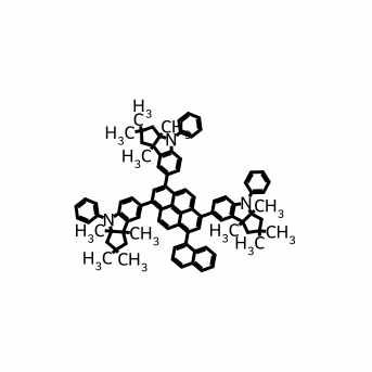 CC1(C)CC2(C)c3cc(-c4cc(-c5ccc6c(c5)C5(C)CC(C)(C)CC5(C)N6c5ccccc5)c5ccc6c(-c7cccc8ccccc78)cc(-c7ccc8c(c7)C7(C)CC(C)(C)CC7(C)N8c7ccccc7)c7ccc4c5c76)ccc3N(c3ccccc3)C2(C)C1